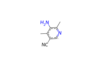 Cc1n[c]c(C#N)c(C)c1N